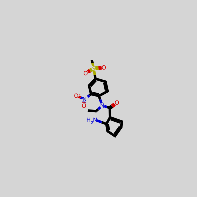 CCN(C(=O)c1ccccc1N)c1ccc(S(C)(=O)=O)cc1[N+](=O)[O-]